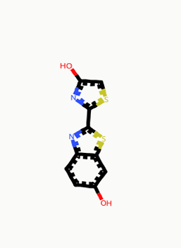 Oc1ccc2nc(-c3nc(O)cs3)sc2c1